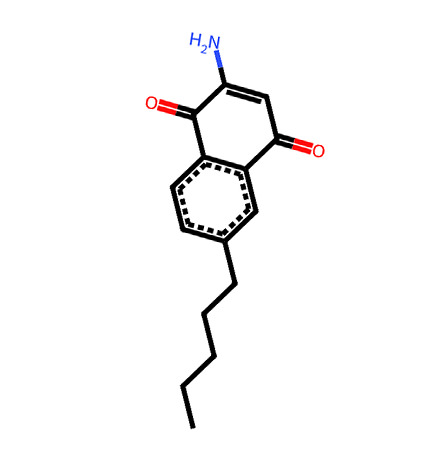 CCCCCc1ccc2c(c1)C(=O)C=C(N)C2=O